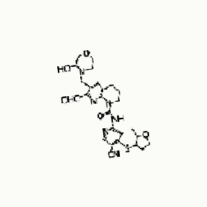 CC1OCCC1Sc1cc(NC(=O)N2CCCc3cc(CN4CCOCC4O)c(C=O)nc32)ncc1C#N